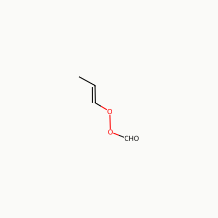 CC=COOC=O